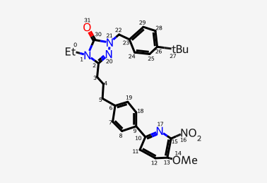 CCn1c(CCCc2ccc(-c3ccc(OC)c([N+](=O)[O-])n3)cc2)nn(Cc2ccc(C(C)(C)C)cc2)c1=O